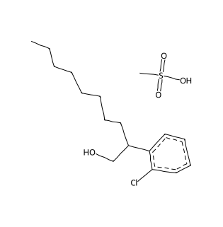 CCCCCCCCC(CO)c1ccccc1Cl.CS(=O)(=O)O